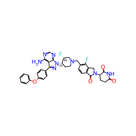 Nc1ncnc2c1c(-c1ccc(Oc3ccccc3)cc1)nn2[C@H]1CCN(Cc2ccc3c(c2F)CN(C2CCC(=O)NC2=O)C3=O)C[C@H]1F